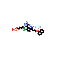 CCn1c(C(=O)O)c(CCCOc2cccc3ccccc23)c2ccc(Cl)c(-c3c(N(C)CCCCCO)nn(C)c3C)c21